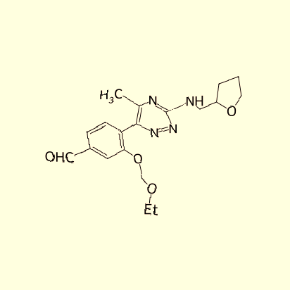 CCOCOc1cc(C=O)ccc1-c1nnc(NCC2CCCO2)nc1C